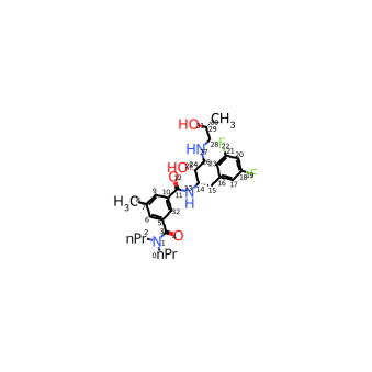 CCCN(CCC)C(=O)c1cc(C)cc(C(=O)N[C@@H](Cc2cc(F)cc(F)c2)[C@H](O)CNC[C@@H](C)O)c1